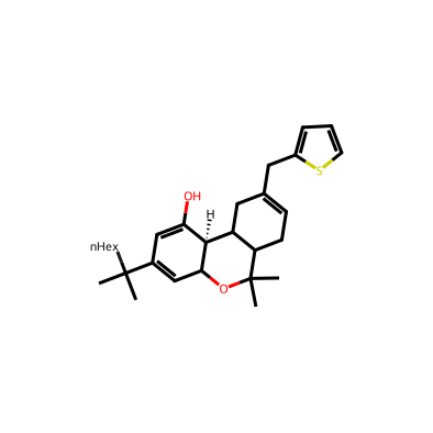 CCCCCCC(C)(C)C1=CC2OC(C)(C)C3CC=C(Cc4cccs4)CC3[C@@H]2C(O)=C1